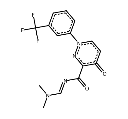 CN(C)C=NC(=O)c1nn(-c2cccc(C(F)(F)F)c2)ccc1=O